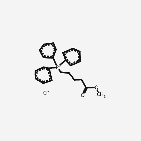 COC(=O)CCCC[P+](c1ccccc1)(c1ccccc1)c1ccccc1.[Cl-]